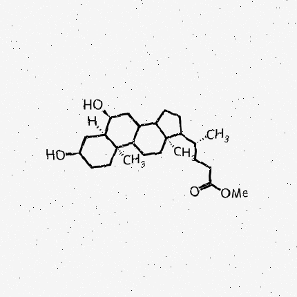 COC(=O)CC[C@@H](C)C1CCC2C3C[C@H](O)[C@@H]4C[C@H](O)CC[C@]4(C)C3CC[C@@]21C